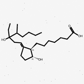 CCCCC(C)C(O)(CC)CC=C1CC[C@@H](O)[C@@H]1CCCCCCC(=O)O